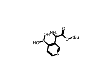 CC(C)(C)OC(=O)C(N)c1cnccc1B(O)O